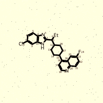 CCC(c1nc2ccc(Cl)cc2[nH]1)C1CCC(c2ccnc3ccc(F)cc23)CC1